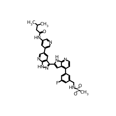 CC(C)CC(=O)Nc1cncc(-c2cnc3[nH]nc(-c4cc5c(-c6cc(F)cc(CNS(C)(=O)=O)c6)ccnc5[nH]4)c3c2)c1